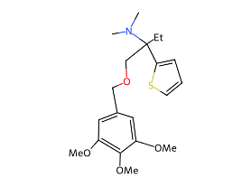 CCC(COCc1cc(OC)c(OC)c(OC)c1)(c1cccs1)N(C)C